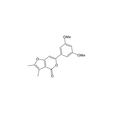 COc1cc(OC)cc(-c2cc3oc(C)c(C)c3c(=O)o2)c1